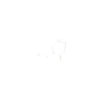 CC(C)CC1C[N]CCC1O